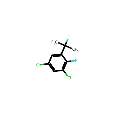 Fc1c(Cl)[c]c(Cl)cc1C(F)(C(F)(F)F)C(F)(F)F